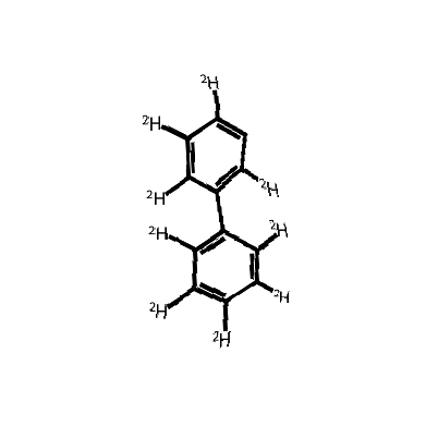 [2H]c1cc([2H])c(-c2c([2H])c([2H])c([2H])c([2H])c2[2H])c([2H])c1[2H]